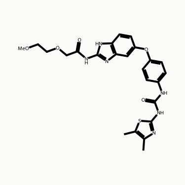 COCCOCC(=O)Nc1nc2cc(Oc3ccc(NC(=O)Nc4nc(C)c(C)s4)cc3)ccc2[nH]1